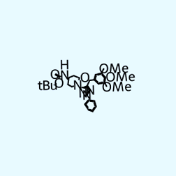 COc1cc(C(=O)c2nn(-c3ccccc3)nc2N2CCC(NC(=O)OC(C)(C)C)CC2)cc(OC)c1OC